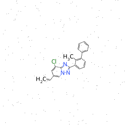 C=Cc1cc(Cl)c2nc(-c3cccc(-c4ccccc4)c3C)nn2c1